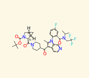 Cc1c(C(=O)C2CCN(C(=O)[C@@H]3[C@H]4C[C@H]4CN3C(=O)OC(C)(C)C)CC2)c2ccncc2n1-c1ccc(F)cc1C(=O)N(CC(F)(F)F)C(C)C